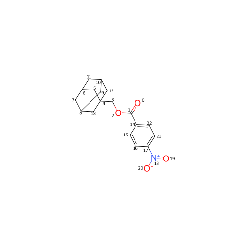 O=C(OCC12CC3CC(CC(C3)C1)C2)c1ccc([N+](=O)[O-])cc1